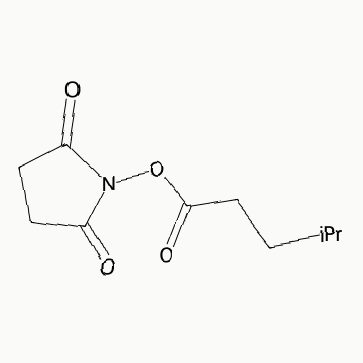 CC(C)CCC(=O)ON1C(=O)CCC1=O